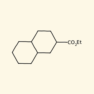 CCOC(=O)C1CCC2CCCCC2C1